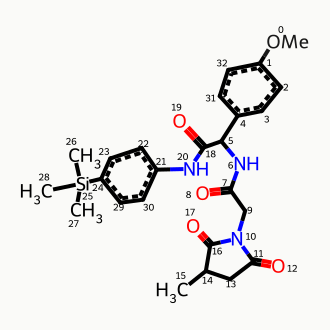 COc1ccc(C(NC(=O)CN2C(=O)CC(C)C2=O)C(=O)Nc2ccc([Si](C)(C)C)cc2)cc1